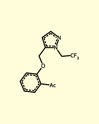 CC(=O)c1ccccc1OCc1ccnn1CC(F)(F)F